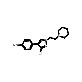 Oc1ccc(-c2cn(CCN3CCCCC3)nc2O)cc1